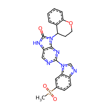 CS(=O)(=O)c1ccc2ncn(-c3ncc4[nH]c(=O)n(C5CCOc6ccccc65)c4n3)c2c1